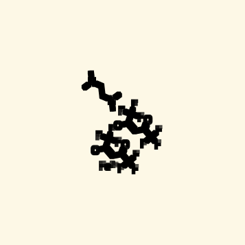 CN(C)CCN(C)C.O=C(/C=C(/[O-])C(F)(F)F)C(F)(F)F.O=C(/C=C(/[O-])C(F)(F)F)C(F)(F)F.[Fe+2]